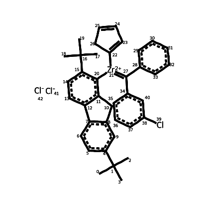 CC(C)(C)c1ccc2c(c1)Cc1c-2ccc(C(C)(C)C)[c]1/[Zr+2]([C]1=CC=CC1)=[C](/c1ccccc1)c1cccc(Cl)c1.[Cl-].[Cl-]